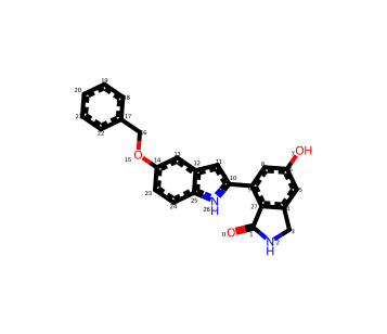 O=C1NCc2cc(O)cc(-c3cc4cc(OCc5ccccc5)ccc4[nH]3)c21